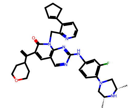 C=C(c1cc2cnc(Nc3ccc(N4C[C@@H](C)N[C@@H](C)C4)c(F)c3)nc2n(Cc2ncccc2C2=CCCC2)c1=O)C1CCOCC1